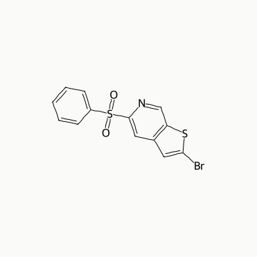 O=S(=O)(c1ccccc1)c1cc2cc(Br)sc2cn1